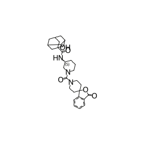 O=C1OC2(CCN(C(=O)N3CCC[C@H](NC(=O)C45CC6CC(C4)C(O)C(C6)C5)C3)CC2)c2ccccc21